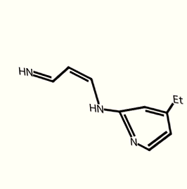 CCc1ccnc(N/C=C\C=N)c1